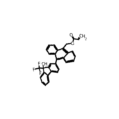 C=CC(=O)OCc1c2ccccc2c(-c2ccc3c(c2)C(C)(C(F)(F)F)c2ccccc2-3)c2ccccc12